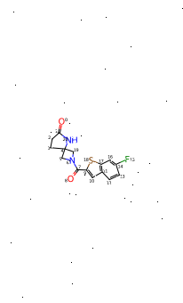 O=C1CCC2(CN(C(=O)c3cc4ccc(F)cc4s3)C2)N1